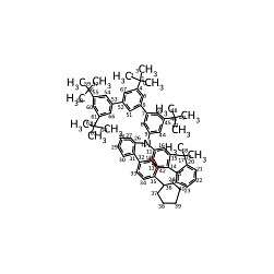 CC(C)(C)c1cc(-c2cc(N(c3ccc4c(c3)C(C)(C)c3ccccc3-4)c3ccccc3-c3ccc(C4CCCCC4)cc3)cc(C(C)(C)C)c2)cc(-c2cc(C(C)(C)C)cc(C(C)(C)C)c2)c1